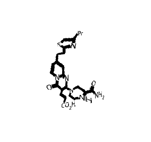 CC(C)c1csc(CCc2ccn3c(=O)c(C=CC(=O)O)c(N4CCNC(C(N)=O)C4)nc3c2)n1